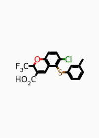 Cc1cccc(Sc2c(Cl)ccc3c2C=C(C(=O)O)C(C(F)(F)F)O3)c1